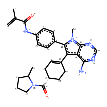 C=C(C)C(=O)Nc1ccc(-c2c(C3=CC[C@@H](C(=O)N4CCCC4C)CC3)c3c(N)ncnc3n2C)cc1